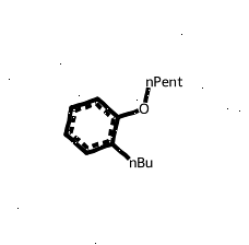 [CH2]CCCc1ccccc1OCCCCC